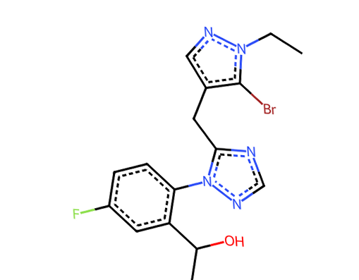 CCn1ncc(Cc2ncnn2-c2ccc(F)cc2C(C)O)c1Br